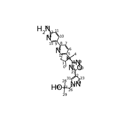 CC(C)[C@](C)(c1ccc(-c2ccc(N)nc2)nc1)c1noc(-c2cnn(CC(C)(C)O)c2)n1